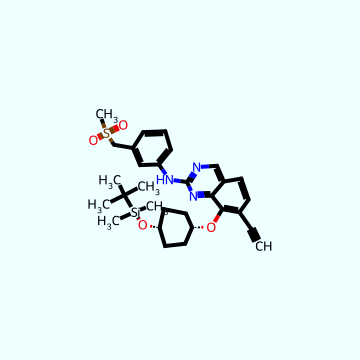 C#Cc1ccc2cnc(Nc3cccc(CS(C)(=O)=O)c3)nc2c1O[C@H]1CC[C@@H](O[Si](C)(C)C(C)(C)C)CC1